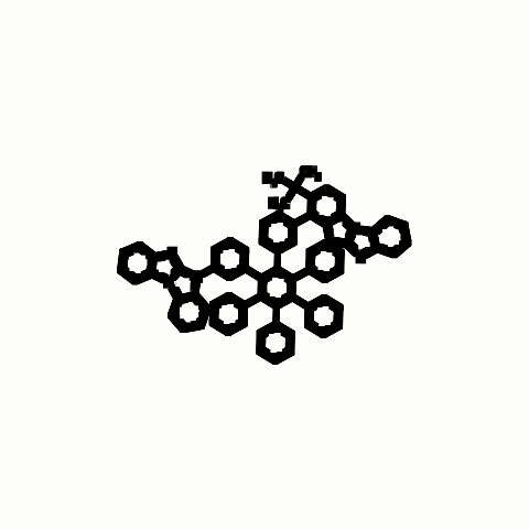 CC(C)(C)c1ccc2c(sc3nc4ccccc4n32)c1-c1cccc(-c2c(-c3ccccc3)c(-c3ccccc3)c(-c3ccccc3)c(-c3ccccc3)c2-c2cccc(-n3c4ccccc4n4c5ccccc5nc34)c2)c1